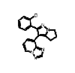 Clc1ccccc1-c1nn2c(c1-c1cccn3ncnc13)CCC2